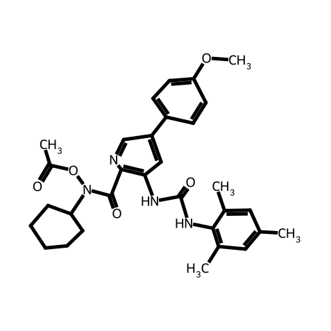 COc1ccc(-c2cnc(C(=O)N(OC(C)=O)C3CCCCC3)c(NC(=O)Nc3c(C)cc(C)cc3C)c2)cc1